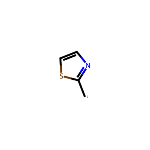 [CH]c1nccs1